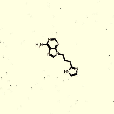 Nc1ncnc2c1ncn2CCCc1ncc[nH]1